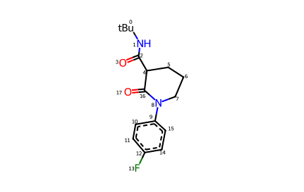 CC(C)(C)NC(=O)C1CCCN(c2ccc(F)cc2)C1=O